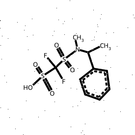 CC(c1ccccc1)N(C)S(=O)(=O)C(F)(F)S(=O)(=O)O